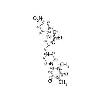 CCS(=O)(=O)N(CCCN1CCN(c2cc(=O)n(C)c(=O)n2C)CC1)c1ccc([N+](=O)[O-])cc1